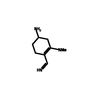 CNC1=C(C=N)CCC(N)C1